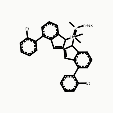 CCCCCC[Si](C)=[Hf]([CH3])([CH3])([CH]1C=Cc2c(-c3ccccc3CC)cccc21)[CH]1C=Cc2c(-c3ccccc3CC)cccc21